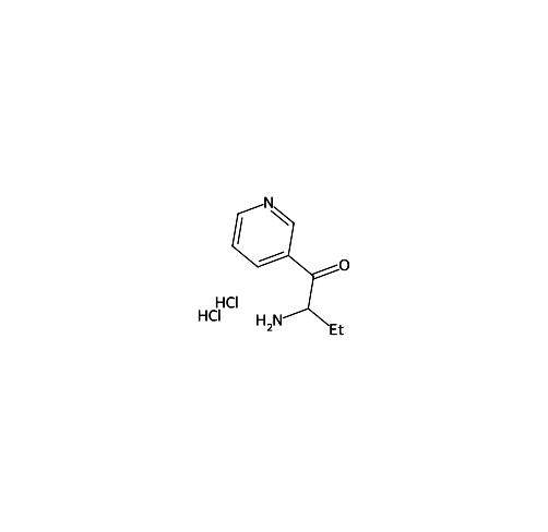 CCC(N)C(=O)c1cccnc1.Cl.Cl